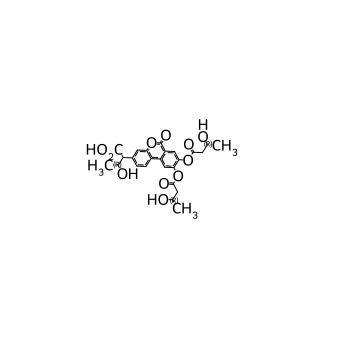 C[C@@H](O)CC(=O)Oc1cc2c(=O)oc3cc(C(C(=O)O)[C@@H](C)O)ccc3c2cc1OC(=O)C[C@@H](C)O